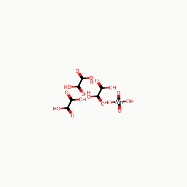 O=C(O)C(=O)O.O=C(O)C(=O)O.O=C(O)C(=O)O.[O]=[Mn](=[O])([OH])[OH]